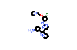 Nc1cccc(-c2nn3ccccc3c2-c2ccnc(Nc3ccc(Cl)c(OCCN4CCCC4)c3)n2)c1